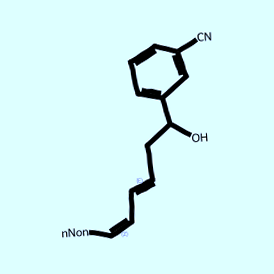 CCCCCCCCC/C=C\C=C\CC(O)c1cccc(C#N)c1